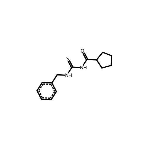 O=C(NC(=S)NCc1ccccc1)C1CCCC1